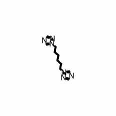 c1ncn(CCCCCCn2cncn2)n1